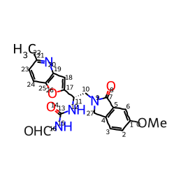 COc1ccc2c(c1)C(=O)N(C[C@H](NC(=O)NC=O)c1cc3nc(C)ccc3o1)C2